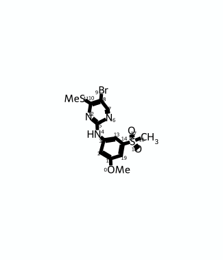 COc1cc(Nc2ncc(Br)c(SC)n2)cc(S(C)(=O)=O)c1